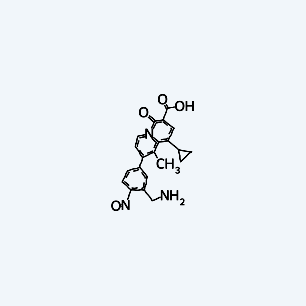 Cc1c(-c2ccc(N=O)c(CN)c2)ccn2c(=O)c(C(=O)O)cc(C3CC3)c12